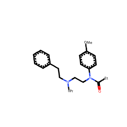 CCCN(CCc1ccccc1)CCN(C(=O)CC)c1ccc(OC)cc1